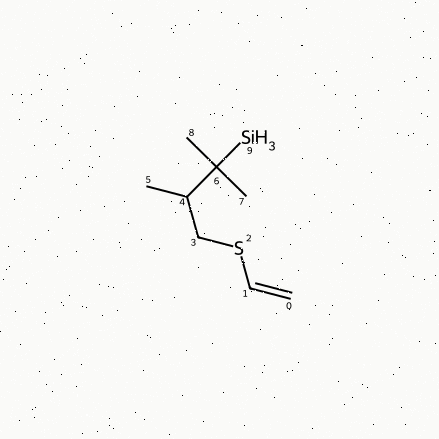 C=CSCC(C)C(C)(C)[SiH3]